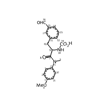 COc1ccc(N(C)C(=O)C(Cc2cccc(C=O)c2)NC(=O)O)cc1